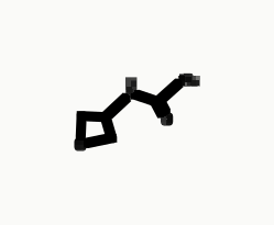 CC(C)(C)C(=O)NC1COC1